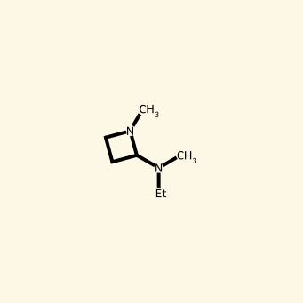 CCN(C)C1CCN1C